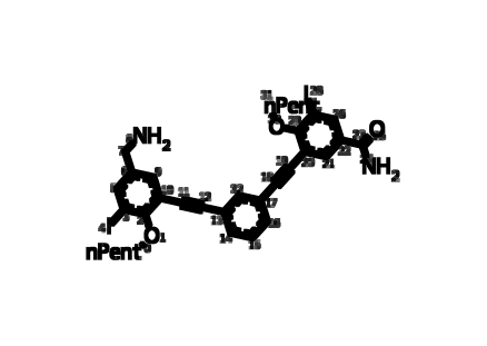 CCCCCOc1c(I)cc(CN)cc1C#Cc1cccc(C#Cc2cc(C(N)=O)cc(I)c2OCCCCC)c1